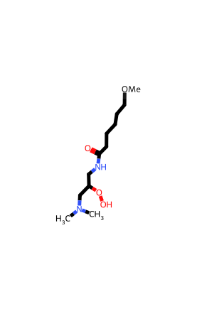 COCCCCCC(=O)NCC(CN(C)C)OO